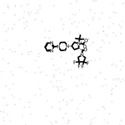 CC(C)(C)[N+]1(C(=O)[O-])C[C@@H](N2CCN(c3ncccn3)CC2)C[C@H]1C(=O)N1CC(F)(F)C(F)(F)C1